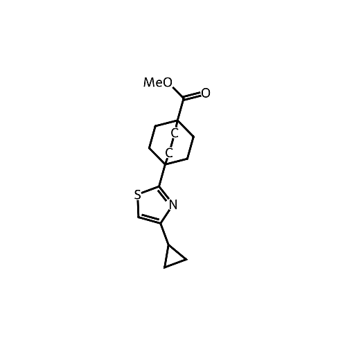 COC(=O)C12CCC(c3nc(C4CC4)cs3)(CC1)CC2